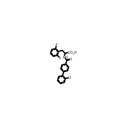 O=C(NC(Cc1c(F)cccc1F)C(=O)O)c1ccc(-c2ccccc2Cl)cc1